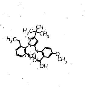 CCc1cccc(C)c1-n1nc(C(C)(C)C)cc1N(C)c1ccc(OC)cc1C(=O)O